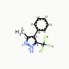 Cc1n[nH]c(C(F)(F)F)c1-c1ccccc1